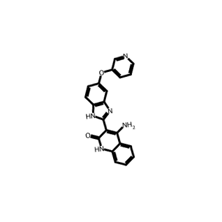 Nc1c(-c2nc3cc(Oc4cccnc4)ccc3[nH]2)c(=O)[nH]c2ccccc12